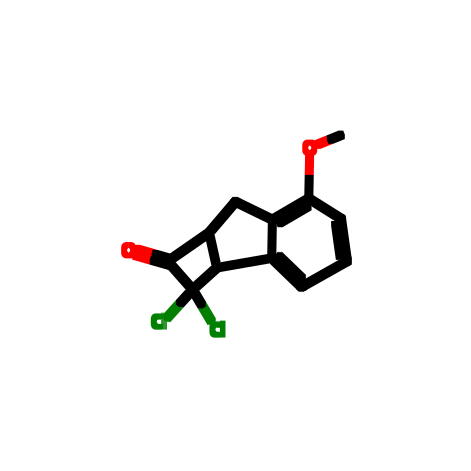 COc1cccc2c1CC1C(=O)C(Cl)(Cl)C21